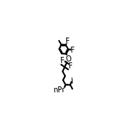 CCCC(CCCC(C)(C)C(F)(F)Oc1ccc(C)c(F)c1F)C(C)I